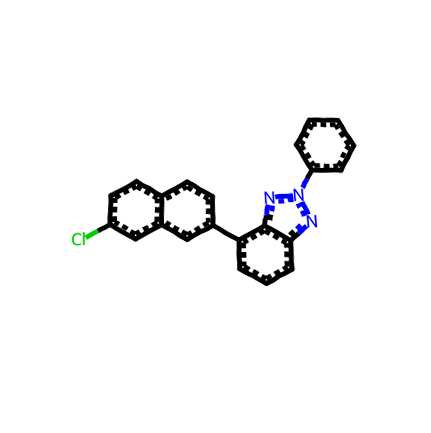 Clc1ccc2ccc(-c3cccc4nn(-c5ccccc5)nc34)cc2c1